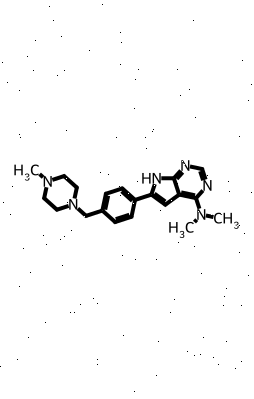 CN1CCN(Cc2ccc(-c3cc4c(N(C)C)ncnc4[nH]3)cc2)CC1